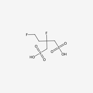 O=S(=O)(O)CC(F)(CCF)CS(=O)(=O)O